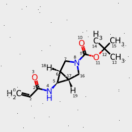 C=CC(=O)N[C@H]1[C@@H]2CN(C(=O)OC(C)(C)C)C[C@@H]21